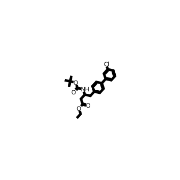 CCOC(=O)CC(Cc1ccc(-c2cccc(Cl)c2)cc1)NC(=O)OC(C)(C)C